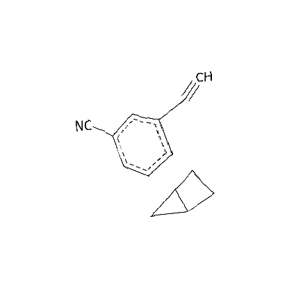 C#Cc1cccc(C#N)c1.C1CC2CC12